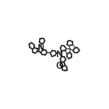 c1ccc(-n2c3cc(-c4ccc(N(c5ccc6c(c5)oc5ccccc56)c5cccc6c5-c5ccccc5C65c6ccccc6-c6ccccc65)cc4)ccc3c3ccc4ccccc4c32)cc1